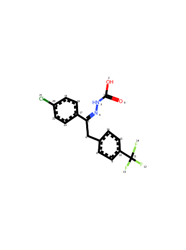 O=C(O)NN=C(Cc1ccc(C(F)(F)F)cc1)c1ccc(Cl)cc1